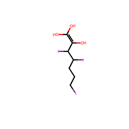 OC(O)=C(O)C(I)C(I)CCCI